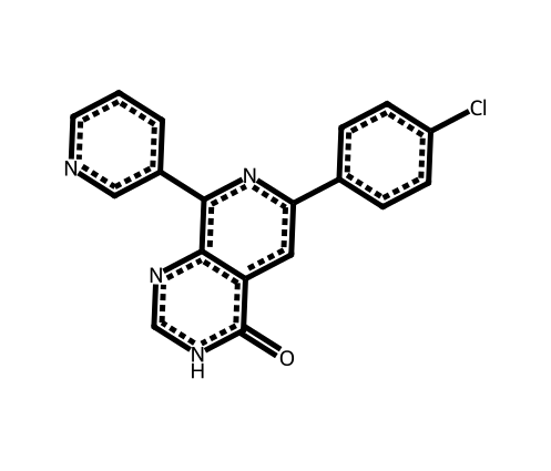 O=c1[nH]cnc2c(-c3cccnc3)nc(-c3ccc(Cl)cc3)cc12